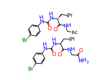 CC(=O)CNC(=O)[C@H](CC(C)C)NC(=O)Nc1ccc(Br)cc1.CC(C)CC(NC(=O)Nc1ccc(Br)cc1)C(=O)NCC(N)=O